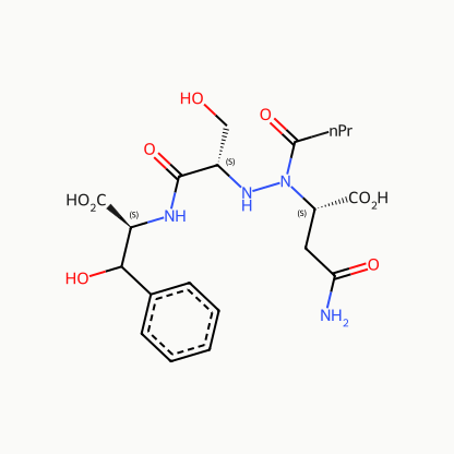 CCCC(=O)N(N[C@@H](CO)C(=O)N[C@H](C(=O)O)C(O)c1ccccc1)[C@@H](CC(N)=O)C(=O)O